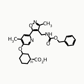 Cc1cc(-c2onc(C)c2CNC(=O)OCc2ccccc2)ncc1OC1CCC[C@H](C(=O)O)C1